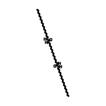 CCCCCCCCCCCCCCCCCCNC(=O)NCCCCCCCCCCCCNC(=O)NCCCCCCCCCCCCCCCCCC